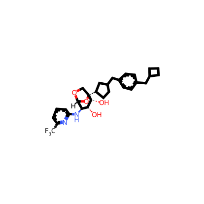 O[C@@H]1[C@@H](Nc2cccc(C(F)(F)F)n2)[C@H]2OC[C@](C3CCC(Cc4ccc(CC5CCC5)cc4)C3)(O2)[C@@H]1O